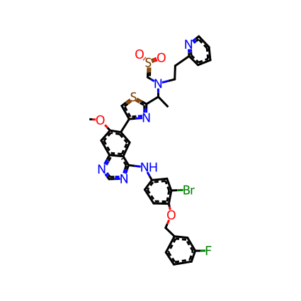 COc1cc2ncnc(Nc3ccc(OCc4cccc(F)c4)c(Br)c3)c2cc1-c1csc(C(C)N(C=S(=O)=O)CCc2ccccn2)n1